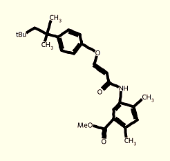 COC(=O)c1cc(NC(=O)/C=C/Oc2ccc(C(C)(C)CC(C)(C)C)cc2)c(C)cc1C